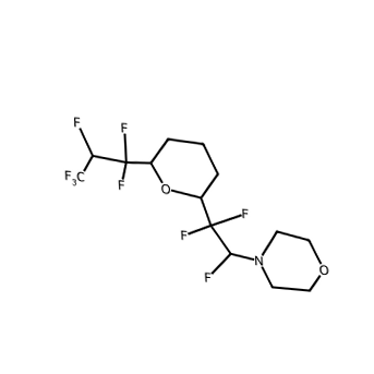 FC(N1CCOCC1)C(F)(F)C1CCCC(C(F)(F)C(F)C(F)(F)F)O1